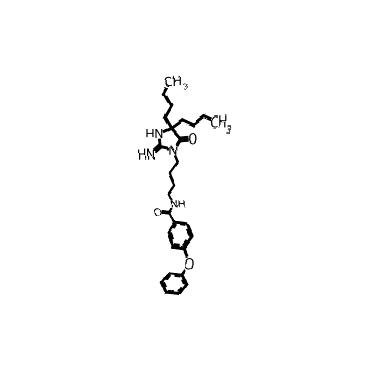 CCCCC1(CCCC)NC(=N)N(CCCCNC(=O)c2ccc(Oc3ccccc3)cc2)C1=O